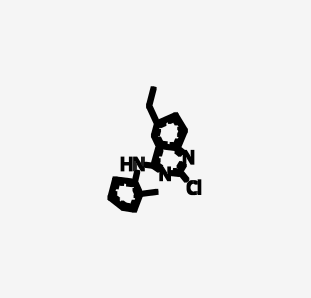 CCc1ccc2nc(Cl)nc(Nc3ccccc3C)c2c1